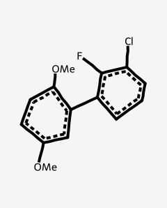 COc1ccc(OC)c(-c2cccc(Cl)c2F)c1